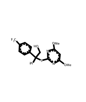 COc1cc(OC)nc(SC(CO)(c2ccc(C(F)(F)F)cc2)C(C)C)n1